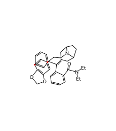 CCN(CC)C(=O)c1ccccc1C(=C1CC2CCC(C1)N2CCc1ccc2c(c1)OCO2)c1ccccc1